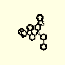 c1ccc(-c2cccc(N(c3ccc4c(c3)sc3ccccc34)c3cccc4c3-c3ccccc3C43C4CC5CC(C4)CC3C5)c2)cc1